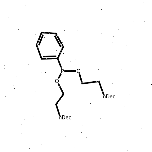 CCCCCCCCCCCCOP(OCCCCCCCCCCCC)c1ccccc1